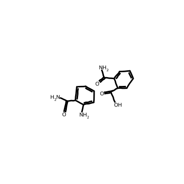 NC(=O)c1ccccc1C(=O)O.NC(=O)c1ccccc1N